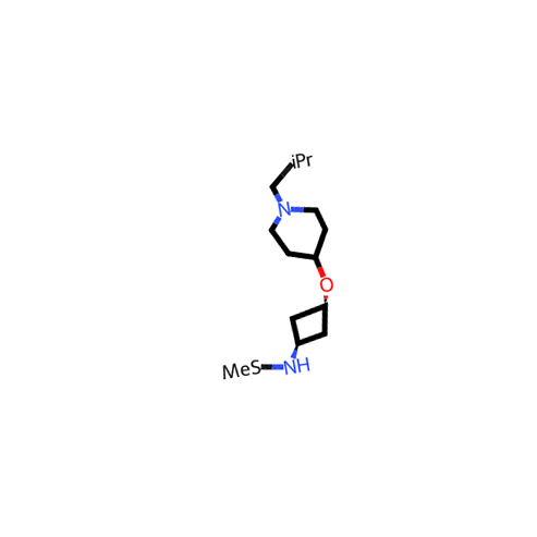 CSN[C@H]1C[C@H](OC2CCN(CC(C)C)CC2)C1